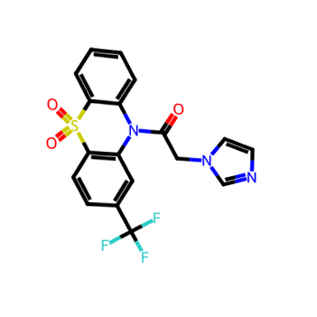 O=C(Cn1ccnc1)N1c2ccccc2S(=O)(=O)c2ccc(C(F)(F)F)cc21